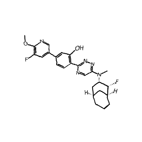 COc1ncc(-c2ccc(-c3ncc(N(C)[C@H]4C[C@@H]5CCC[C@@H](C5)[C@H]4F)nn3)c(O)c2)cc1F